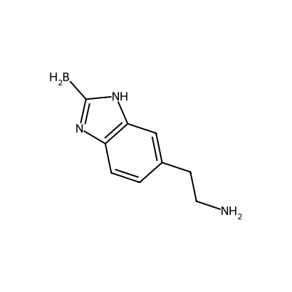 Bc1nc2ccc(CCN)cc2[nH]1